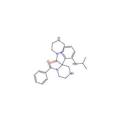 CC(C)Nc1cccnc1C1(C(=O)N2CCNCC2)CNCCN1C(=O)c1ccccc1